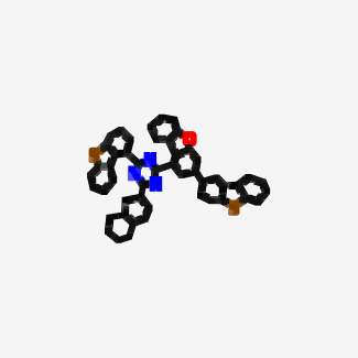 C1=Cc2cc(-c3nc(-c4cc(-c5ccc6sc7ccccc7c6c5)cc5oc6ccccc6c45)nc(-c4cccc5sc6ccccc6c45)n3)ccc2CC1